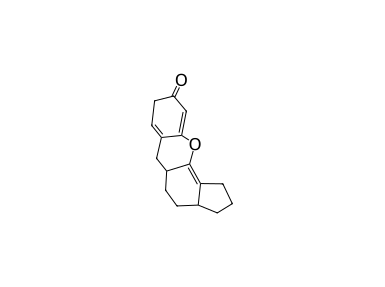 O=C1C=C2OC3=C4CCCC4CCC3CC2=CC1